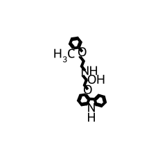 Cc1ccccc1OCCCNCC(O)COc1cccc2[nH]c3ccccc3c12